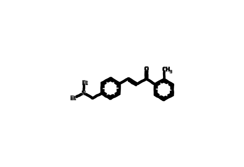 CCN(CC)Cc1ccc(C=CC(=O)c2ccccc2C)cc1